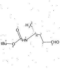 C[C@H](CCC=O)NC(=O)OC(C)(C)C